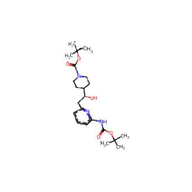 CC(C)(C)OC(=O)Nc1cccc(CC(O)C2CCN(C(=O)OC(C)(C)C)CC2)n1